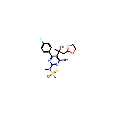 CC(C)c1nc(N(C)S(C)(=O)=O)nc(-c2ccc(F)cc2)c1C(C)(O)CC1OCCO1